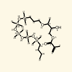 C=C(C)C(=O)OCC(O)C(C)OCCC[Si](C)(C)O[Si](C)(C)O[Si](C)(C)O[Si](C)(C)O[Si](C)(C)CCCC